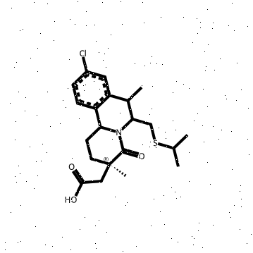 CC(C)SCC1C(C)c2cc(Cl)ccc2C2CC[C@](C)(CC(=O)O)C(=O)N21